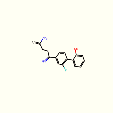 C=C(N)CCC(=N)c1ccc(-c2ccccc2O)c(F)c1